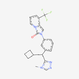 Cn1cnnc1C(c1cccc(-n2cc3c(C(F)(F)F)cccn3c2=O)c1)C1CCC1